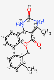 CC1=C(C(=O)OCc2ccccc2C)C(c2ccccc2)NC(=O)N1